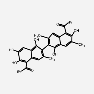 Cc1cc2c(O)c(-c3c(C)cc4c(C(=O)C(C)C)c(O)c(O)cc4c3O)c(C)cc2c(C(=O)C(C)C)c1O